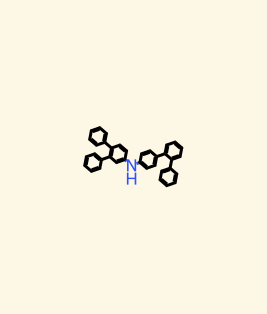 c1ccc(-c2ccccc2-c2ccc(Nc3ccc(-c4ccccc4)c(-c4ccccc4)c3)cc2)cc1